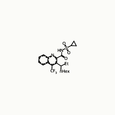 CCCCCCC(CC)c1c(C(=O)NS(=O)(=O)C2CC2)nc2ccccc2c1C(F)(F)F